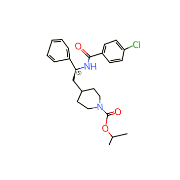 CC(C)OC(=O)N1CCC(C[C@H](NC(=O)c2ccc(Cl)cc2)c2ccccc2)CC1